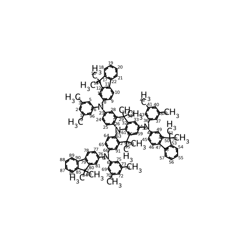 Cc1cc(C)cc(N(c2ccc3c(c2)C(C)(C)c2ccccc2-3)c2ccc3c(c2)C(C)(C)c2cc(N(c4cc(C)cc(C)c4)c4ccc5c(c4)C(C)(C)c4ccccc4-5)cc4c2N3c2ccc(N(c3cc(C)cc(C)c3)c3ccc5c(c3)C(C)(C)c3ccccc3-5)cc2C4(C)C)c1